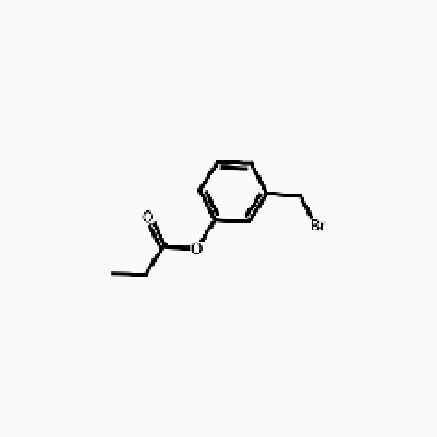 CCC(=O)Oc1cccc(CBr)c1